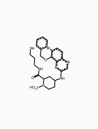 O=C(NCCCO)C1CC(Nc2cnc3ccc(Br)c(OCc4ccccc4)c3n2)CCN1C(=O)O